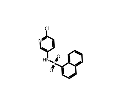 O=S(=O)(Nc1ccc(Cl)nc1)c1cccc2ccccc12